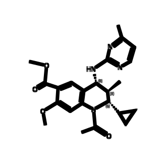 COC(=O)c1cc2c(cc1OC)N(C(C)=O)[C@@H](C1CC1)[C@H](C)[C@H]2Nc1nccc(C)n1